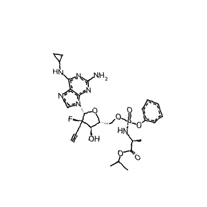 C#C[C@@]1(F)[C@H](O)[C@@H](CO[P@@](=O)(N[C@@H](C)C(=O)OC(C)C)Oc2ccccc2)O[C@H]1n1cnc2c(NC3CC3)nc(N)nc21